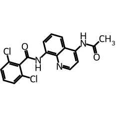 CC(=O)Nc1ccnc2c(NC(=O)c3c(Cl)cccc3Cl)cccc12